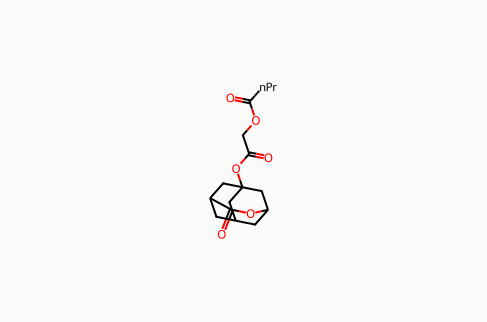 CCCC(=O)OCC(=O)OC12CC3CC(C1)OC(=O)C(C3)C2